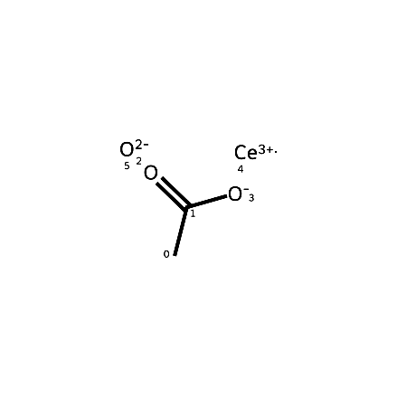 CC(=O)[O-].[Ce+3].[O-2]